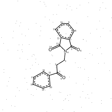 O=C(CCN1C(=O)c2ccccc2C1=O)c1ccccc1